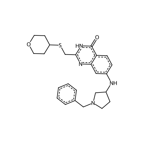 O=c1[nH]c(CSC2CCOCC2)nc2cc(NC3CCN(Cc4ccccc4)C3)ccc12